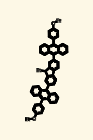 CCOc1ccc(-c2c3ccccc3c(-c3ccc4c(c3)C(CC)c3cc(-c5c6ccccc6c(-c6ccc(OCC)cc6)c6ccccc56)ccc3-4)c3ccccc23)cc1